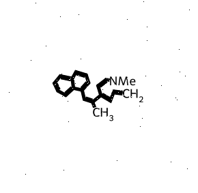 C=C/C=C(\C=C/NC)C(/C)=C\c1cccc2ccccc12